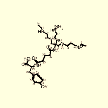 CCNCCNCC(CNCCNCC)(NCCNN)NC(=O)CCCC(=O)N[C@@H](Cc1ccc(O)cc1)C(=O)O